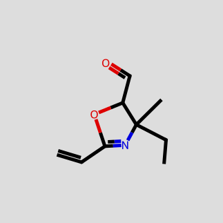 C=CC1=NC(C)(CC)C(C=O)O1